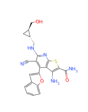 N#Cc1c(NC[C@@H]2C[C@H]2CO)nc2sc(C(N)=O)c(N)c2c1-c1cc2ccccc2o1